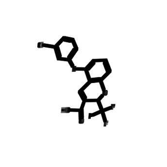 O=C(O)C1=Cc2c(cccc2Sc2cccc(Cl)c2)OC1C(F)(F)F